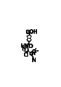 CC1(C)Cc2c(-c3cc(NC(=O)C4CC5CC(C(=O)O)CC5C4)ncc3Cl)cc(C#N)n2C1